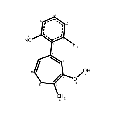 CC1=C(OO)C=C(c2c(F)cccc2C#N)C=CC1